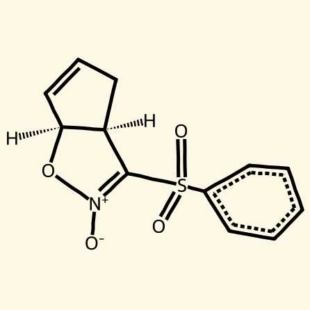 O=S(=O)(C1=[N+]([O-])O[C@H]2C=CC[C@@H]12)c1ccccc1